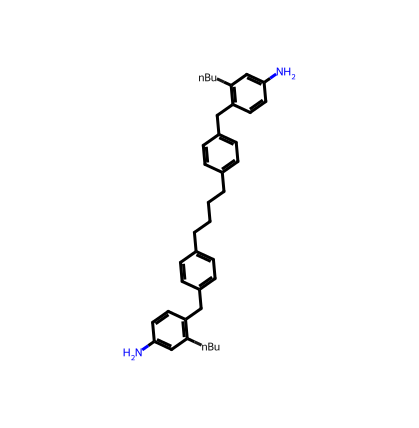 CCCCc1cc(N)ccc1Cc1ccc(CCCCc2ccc(Cc3ccc(N)cc3CCCC)cc2)cc1